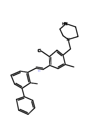 Cc1cc(/C=C/c2cccc(-c3ccccc3)c2C)c(Cl)cc1CN1CCNCC1